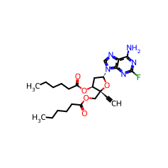 C#C[C@]1(COC(=O)CCCCC)O[C@@H](n2cnc3c(N)nc(F)nc32)C[C@@H]1OC(=O)CCCCC